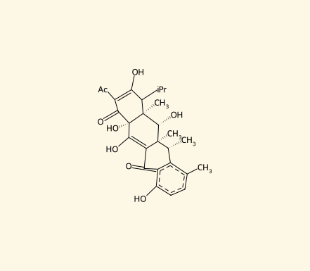 CC(=O)C1=C(O)C(C(C)C)[C@@]2(C)[C@H](O)[C@]3(C)C(=C(O)[C@@]2(O)C1=O)C(=O)c1c(O)ccc(C)c1[C@H]3C